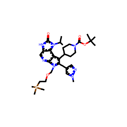 CC(C)n1c(=O)[nH]c2cnc3c(c(C4CCN(C(=O)OC(C)(C)C)CC4)c(-c4cnn(C)c4)n3COCCS(C)(C)C)c21